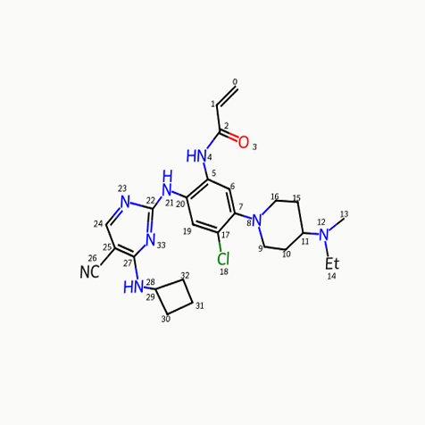 C=CC(=O)Nc1cc(N2CCC(N(C)CC)CC2)c(Cl)cc1Nc1ncc(C#N)c(NC2CCC2)n1